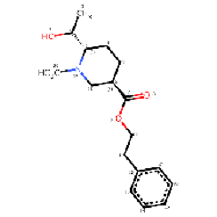 CC(O)[C@@H]1CC[C@@H](C(=O)OCCc2ccccc2)CN1C(=O)O